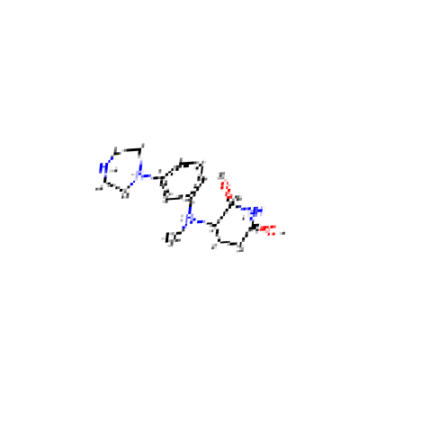 CN(c1cccc(N2CCNCC2)c1)C1CCC(=O)NC1=O